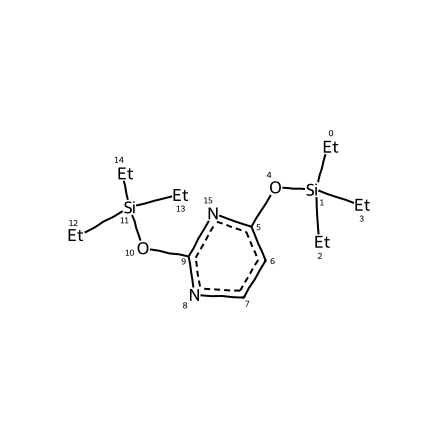 CC[Si](CC)(CC)Oc1ccnc(O[Si](CC)(CC)CC)n1